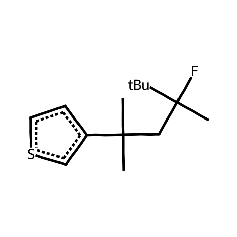 CC(C)(CC(C)(F)C(C)(C)C)c1ccsc1